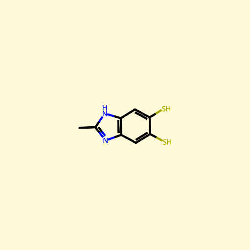 Cc1nc2cc(S)c(S)cc2[nH]1